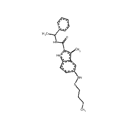 CCCCSNc1ccc2[nH]c(C(=O)NC(C)c3ccccc3)c(C)c2c1